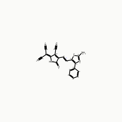 N#CC(C#N)=C1NC(=O)C(/C=C/c2sc(N)nc2-c2ccccc2)=C1C#N